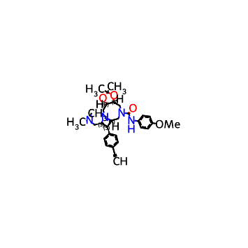 C#Cc1ccc([C@H]2[C@@H](CN(C)C)N3C[C@H]4OC(C)(C)O[C@H]4CN(C(=O)Nc4ccc(OC)cc4)C[C@@H]23)cc1